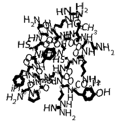 CC[C@H](C)[C@H](NC(=O)[C@@H]1CCCN1C(=O)[C@@H](N)C(C)C)C(=O)N[C@@H](Cc1ccccc1)C(=O)N[C@@H](Cc1ccc(O)cc1)C(=O)N[C@@H](CS)C(=O)N[C@@H](CC(N)=O)C(=O)N[C@@H](CCCNC(=N)N)C(=O)N[C@@H](CCN)C(=O)N[C@H](C(=O)N[C@H](CCN)C(=O)N[C@@H](CCCCN)C(=O)N[C@@H](CS)C(=O)N[C@@H](CCN)C(=O)N[C@@H](CCCNC(=N)N)C(=O)N[C@@H](Cc1ccc(O)cc1)C(=O)O)[C@@H](C)O